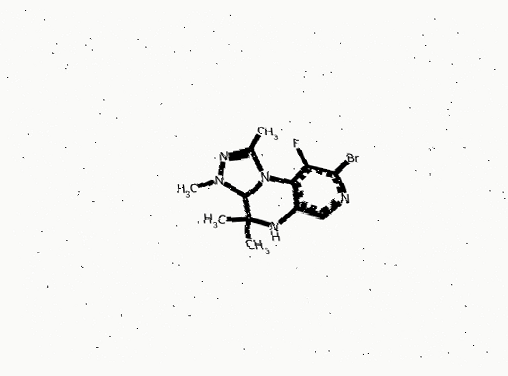 CC1=NN(C)C2N1c1c(cnc(Br)c1F)NC2(C)C